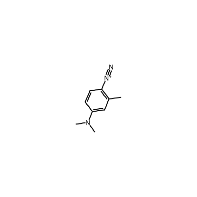 Cc1cc(N(C)C)ccc1[N+]#N